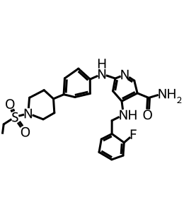 CCS(=O)(=O)N1CCC(c2ccc(Nc3cc(NCc4ccccc4F)c(C(N)=O)cn3)cc2)CC1